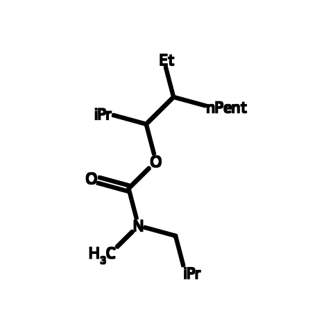 CCCCCC(CC)C(OC(=O)N(C)CC(C)C)C(C)C